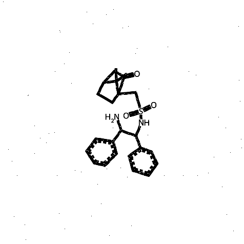 CC1(C)C2CCC1(CS(=O)(=O)NC(c1ccccc1)C(N)c1ccccc1)C(=O)C2